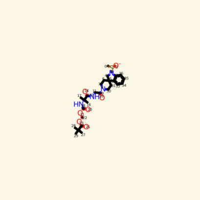 C[S+]([O-])N1CC2(CCN(C(=O)CNC(=O)C(C)(C)NC(=O)OCOC(=O)C(C)(C)C)CC2)c2ccccc21